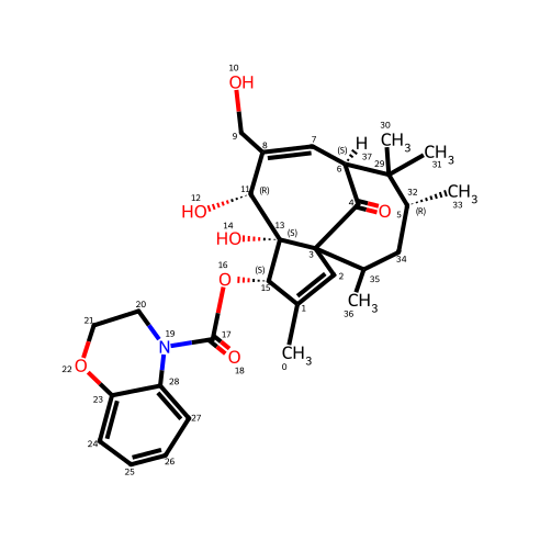 CC1=CC23C(=O)[C@@H](C=C(CO)[C@@H](O)[C@]2(O)[C@H]1OC(=O)N1CCOc2ccccc21)C(C)(C)[C@H](C)CC3C